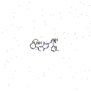 C=C1\C=C/C(c2c[nH]nc2-c2cccc(C)n2)=C/C=C/C1=C/C(=C\C)C1=C2NCCCN2C=CC=C1